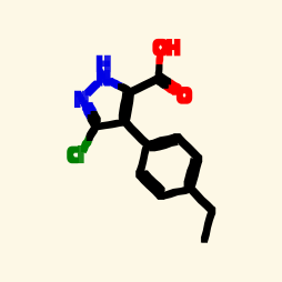 CCc1ccc(-c2c(Cl)n[nH]c2C(=O)O)cc1